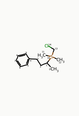 CC(CCc1ccccc1)S(C)(C)CCl